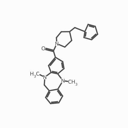 CN1Cc2ccccc2N(C)c2ccc(C(=O)N3CCC(Cc4ccccc4)CC3)cc21